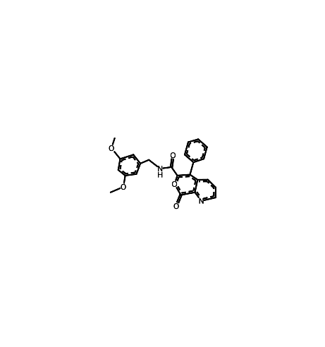 COc1cc(CNC(=O)c2oc(=O)c3ncccc3c2-c2ccccc2)cc(OC)c1